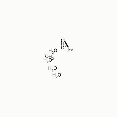 O.O.O.O.O.O.[Cl][Fe]